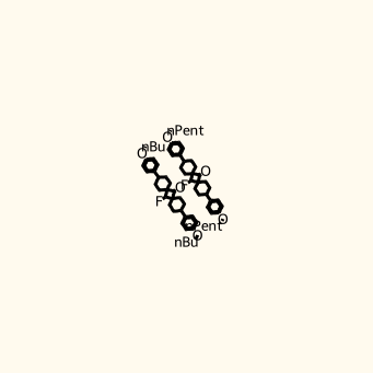 CCCCCOc1ccc(C2CCC3(CC2)C(=O)C2(CCC(c4ccc(OCCCCC)cc4)CC2)C3F)cc1.CCCCOc1ccc(C2CCC3(CC2)C(=O)C2(CCC(c4ccc(OCCCC)cc4)CC2)C3F)cc1